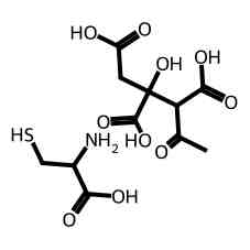 CC(=O)C(C(=O)O)C(O)(CC(=O)O)C(=O)O.NC(CS)C(=O)O